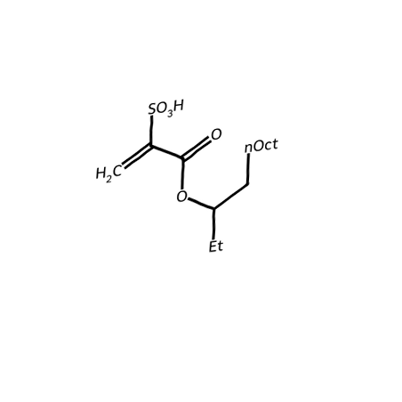 C=C(C(=O)OC(CC)CCCCCCCCC)S(=O)(=O)O